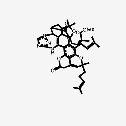 COC(=O)/C(C)=C\CC12OC(C)(C)C3CC(C1=O)C1C4=C(Nc5ncn1n5)c1c(c(CC=C(C)C)c5c6c1OC(=O)CC6=CC(C)(CCC=C(C)C)O5)OC432